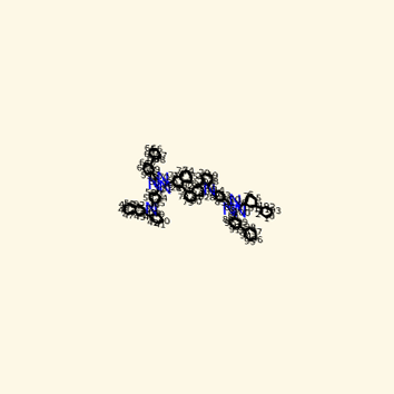 c1ccc(-c2cccc(-c3nc(-c4ccc(-n5c6ccccc6c6cc7c(-c8cc(-c9nc(-c%10ccc(-n%11c%12ccccc%12c%12cc%13ccccc%13cc%12%11)cc%10)nc(-c%10cccc(-c%11ccccc%11)c%10)n9)cc9ccccc89)cccc7cc65)cc4)nc(-c4cccc(-c5ccccc5)c4)n3)c2)cc1